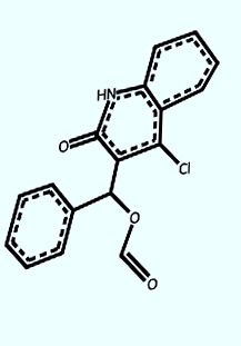 O=COC(c1ccccc1)c1c(Cl)c2ccccc2[nH]c1=O